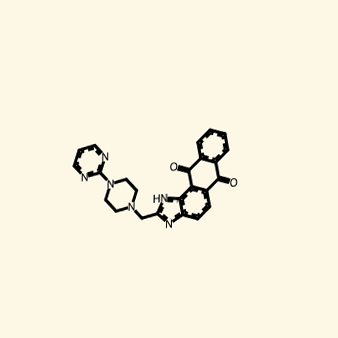 O=C1c2ccccc2C(=O)c2c1ccc1nc(CN3CCN(c4ncccn4)CC3)[nH]c21